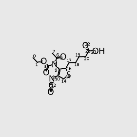 CCOC(=O)N(C(C)=O)C1=C(N=C=O)CSC1CCCCC(=O)O